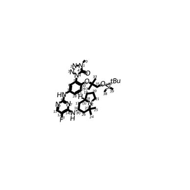 Cn1nnn(-c2cc(Nc3ncc(F)c(N[C@@H]4C[C@@H]5CCCN5C(C)(C)C4)n3)ccc2OC(C)(C)CO[Si](C)(C)C(C)(C)C)c1=O